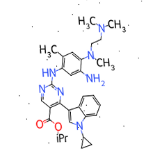 Cc1cc(N(C)CCN(C)C)c(N)cc1Nc1ncc(C(=O)OC(C)C)c(-c2cn(C3CC3)c3ccccc23)n1